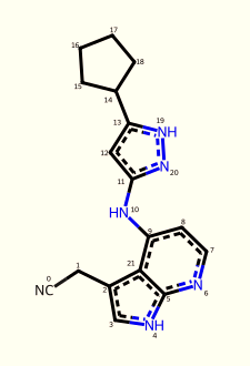 N#CCc1c[nH]c2nccc(Nc3cc(C4CCCC4)[nH]n3)c12